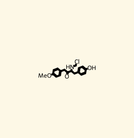 COc1ccc(CC(=O)C(Cc2ccc(O)cc2)NCCl)cc1